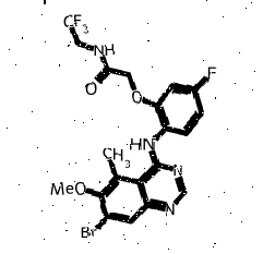 COc1c(Br)cc2ncnc(Nc3ccc(F)cc3OCC(=O)NCC(F)(F)F)c2c1C